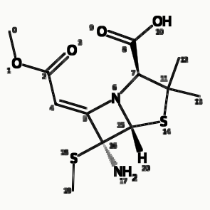 COC(=O)C=C1N2[C@@H](C(=O)O)C(C)(C)S[C@@H]2[C@@]1(N)SC